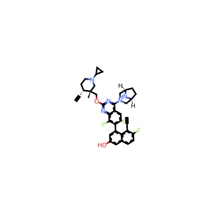 C#Cc1c(F)ccc2cc(O)cc(-c3c(F)cc4c(N5C[C@H]6CC[C@@H](C5)N6)nc(OC[C@@]5(C)CN(C6CC6)CC[C@H]5C#C)nc4c3F)c12